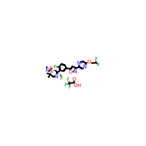 CN=[S@@]1(=O)C[C@@](CF)(c2cc(-c3cc(-c4cnc(OCC(F)F)cn4)no3)ccc2F)N=CC1(C)C.O=C(O)C(F)(F)F